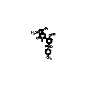 CCCOc1ccc(S(=O)(=O)N2CCN(C)CC2)cc1-c1nc2c(CCC)cn(C)c2c(=O)[nH]1